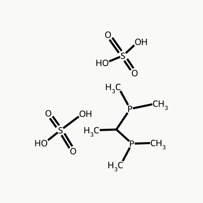 CC(P(C)C)P(C)C.O=S(=O)(O)O.O=S(=O)(O)O